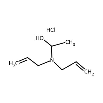 C=CCN(CC=C)C(C)O.Cl